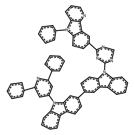 c1ccc(-c2cc(-n3c4ccccc4c4ccc(-c5ccc6c(c5)c5ccccc5n6-c5ncnc(-c6ccc7c(c6)c6ncccc6n7-c6ccccc6)n5)cc43)cc(-c3ccccc3)n2)cc1